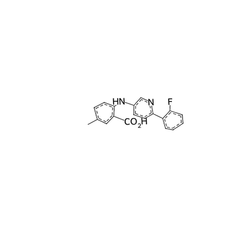 Cc1ccc(Nc2ccc(-c3ccccc3F)nc2)c(C(=O)O)c1